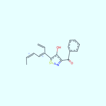 C=C/C(=C\C=C/C)c1snc(C(=O)c2ccccc2)c1O